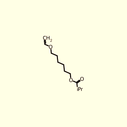 C=COCCCCCCOC(=O)C(C)C